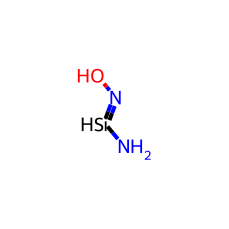 N[SiH]=NO